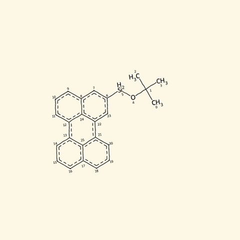 CC(C)(C)O[SiH2]c1cc2cccc3c4cccc5cccc(c(c1)c23)c54